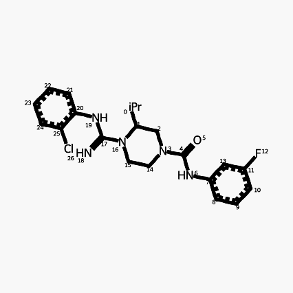 CC(C)C1CN(C(=O)Nc2cccc(F)c2)CCN1C(=N)Nc1ccccc1Cl